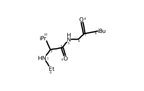 CCNC(C(=O)NCC(=O)C(C)CC)C(C)C